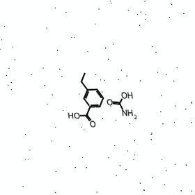 CCc1cccc(C(=O)O)c1.NC(=O)O